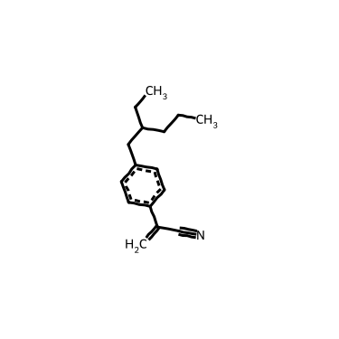 C=C(C#N)c1ccc(CC(CC)CCC)cc1